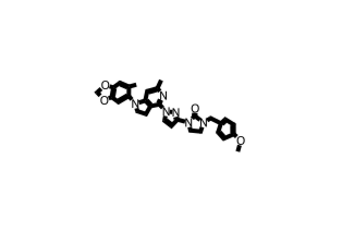 COc1ccc(CN2CCN(c3ccn(-c4nc(C)cc5c4CCN5c4cc5c(cc4C)OCO5)n3)C2=O)cc1